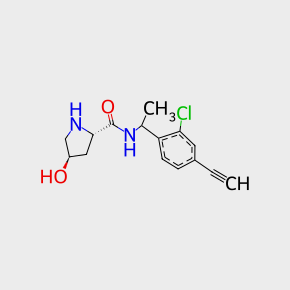 C#Cc1ccc(C(C)NC(=O)[C@@H]2C[C@@H](O)CN2)c(Cl)c1